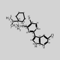 CN(C)[C@@]1(N)CCCC[C@@H]1Nc1nc(-c2c[nH]c3ncc(Cl)cc23)ncc1F